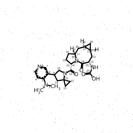 CN(C)c1ccncc1C1CN(C(=O)[C@@H]2CC[C@@H]3C[C@H]4C[C@H]4C[C@H](NC(=O)O)C(=O)N32)C2(CC2)C1